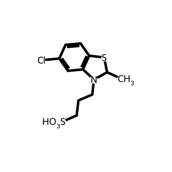 CC1Sc2ccc(Cl)cc2N1CCCS(=O)(=O)O